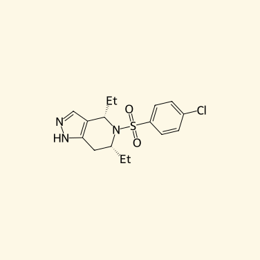 CC[C@@H]1Cc2[nH]ncc2[C@H](CC)N1S(=O)(=O)c1ccc(Cl)cc1